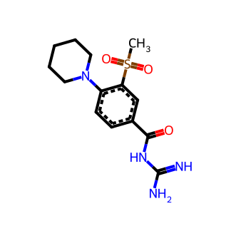 CS(=O)(=O)c1cc(C(=O)NC(=N)N)ccc1N1CCCCC1